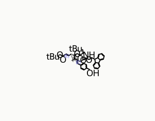 C[C@H](/C=C/c1ccc(CO)cc1)[C@H](C/C=C/C(=O)OC(C)(C)C)OC(=O)C(CC(C)(C)C)NC(=O)OCC1c2ccccc2-c2ccccc21